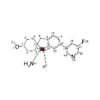 COC1CCC2(CC1)Cc1ccc(-c3cncc(F)c3)cc1C21N=C(C)C(N)=N1